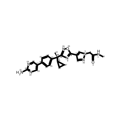 CNC(=O)Cn1cc(-c2nc([C@@](C)(c3ccc(-c4cnc(N)nc4)cc3)C3CC3)no2)cn1